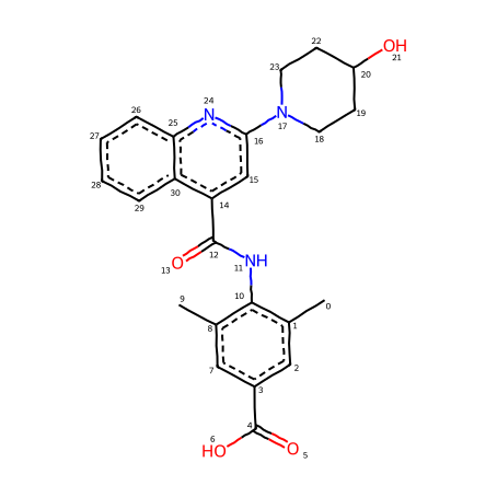 Cc1cc(C(=O)O)cc(C)c1NC(=O)c1cc(N2CCC(O)CC2)nc2ccccc12